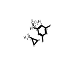 Cc1cc(C)cc(NC(=O)O)c1.NC1CC1